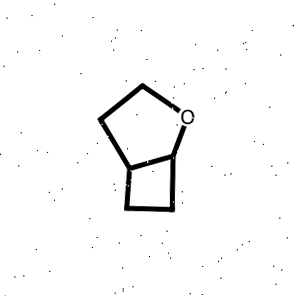 C1CC2CCC2O1